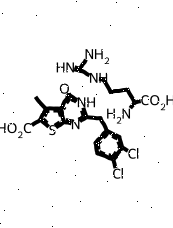 Cc1c(C(=O)O)sc2nc(Cc3ccc(Cl)c(Cl)c3)[nH]c(=O)c12.N=C(N)NCCCC(N)C(=O)O